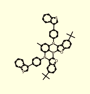 Cc1cc2c3c(c1)N(c1ccc(-c4csc5ccccc45)cc1)c1c(oc4ccc(C(C)(C)C)cc14)B3c1oc3ccc(C(C)(C)C)cc3c1N2c1ccc(-c2csc3ccccc23)cc1